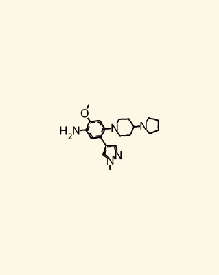 COc1cc(N2CCC(N3CCCC3)CC2)c(-c2cnn(C)c2)cc1N